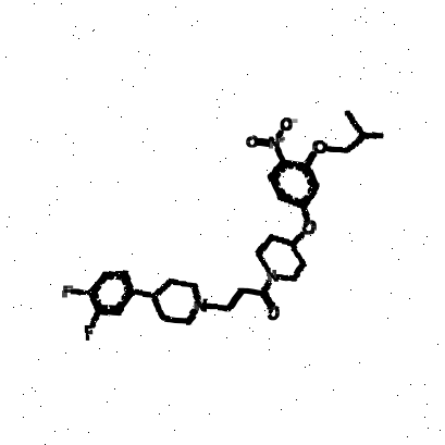 CC(C)COc1cc(OC2CCN(C(=O)CCN3CCC(c4ccc(F)c(F)c4)CC3)CC2)ccc1[N+](=O)[O-]